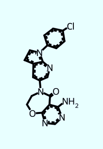 Nc1ncnc2c1C(=O)N(c1cnc3c(ccn3-c3ccc(Cl)cc3)c1)CCO2